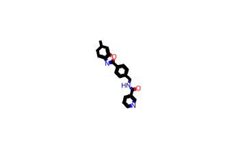 CC1C=c2oc(-c3ccc(CNC(=O)c4cccnc4)cc3)nc2=CC1